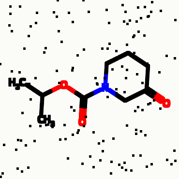 CC(C)OC(=O)N1CCCC(=O)C1